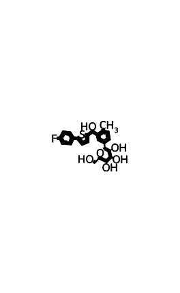 Cc1ccc([C@@H]2O[C@H](CO)[C@@H](O)[C@H](O)[C@H]2O)cc1C(O)c1ccc(-c2ccc(F)cc2)s1